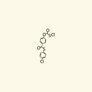 O=C(Oc1ccc(C(=O)Sc2ccc(Cl)cc2)cc1)SCl